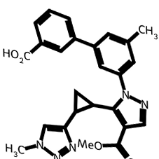 COC(=O)c1cnn(-c2cc(C)cc(-c3cccc(C(=O)O)c3)c2)c1C1CC1c1cn(C)nn1